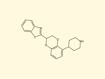 c1cc2c(c(C3CCNCC3)c1)OCC(c1nc3ccccc3s1)O2